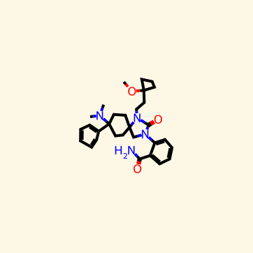 COC1(CCN2C(=O)N(c3ccccc3C(N)=O)CC23CCC(c2ccccc2)(N(C)C)CC3)CCC1